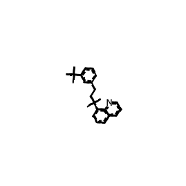 CC(C)(C)c1cccc(CCC(C)(C)c2cccc3cccnc23)c1